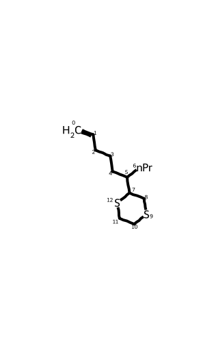 C=CCCCC(CCC)C1CSCCS1